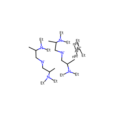 CCN(CC)C(C)C[N-]CC(C)N(CC)CC.CCN(CC)C(C)C[N-]CC(C)N(CC)CC.CC[CH2][Al+][CH2]CC.C[CH2][Al+][CH2]C